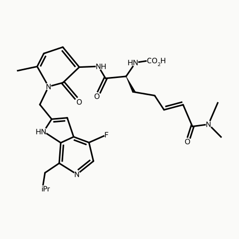 Cc1ccc(NC(=O)[C@H](CC/C=C/C(=O)N(C)C)NC(=O)O)c(=O)n1Cc1cc2c(F)cnc(CC(C)C)c2[nH]1